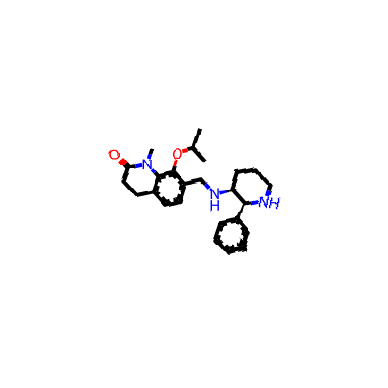 CC(C)Oc1c(CN[C@H]2CCCN[C@H]2c2ccccc2)ccc2c1N(C)C(=O)CC2